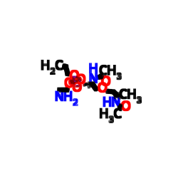 C=CCOP(=O)(OCCN)OC[C@@H](COCC[C@@H](C)NC(C)=O)NC(C)=O